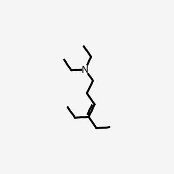 CCC(=CCCN(CC)CC)CC